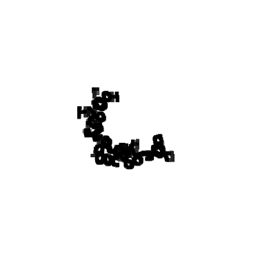 O=C(C[n+]1ccc(CN2CC/C(=C\C3=C(C(=O)[O-])N4C(=O)[C@@H](NC(=O)CSc5cc(Cl)cc(Cl)c5)[C@H]4SC3)C2=O)cc1)Nc1ccc(O)c(F)c1